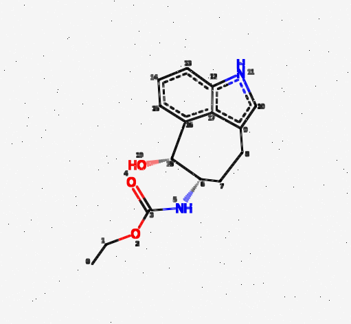 CCOC(=O)N[C@H]1CCc2c[nH]c3cccc(c23)[C@H]1O